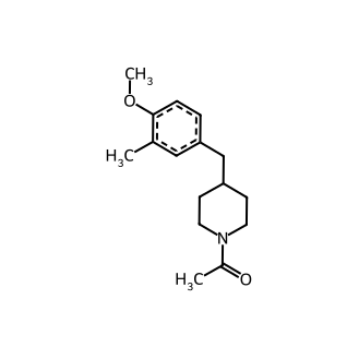 COc1ccc(CC2CCN(C(C)=O)CC2)cc1C